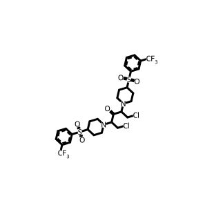 O=C(C(CCl)N1CCC(S(=O)(=O)c2cccc(C(F)(F)F)c2)CC1)C(CCl)N1CCC(S(=O)(=O)c2cccc(C(F)(F)F)c2)CC1